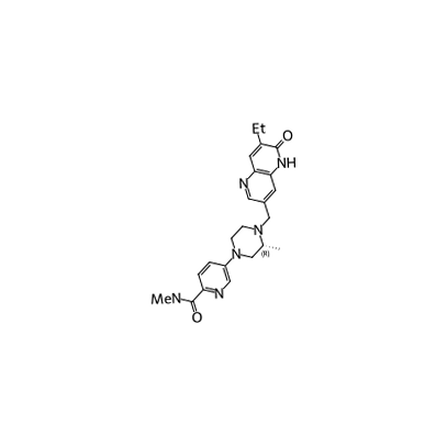 CCc1cc2ncc(CN3CCN(c4ccc(C(=O)NC)nc4)C[C@H]3C)cc2[nH]c1=O